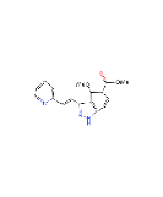 COC(=O)c1ccc2[nH]nc(C=Cc3ccccn3)c2c1OC